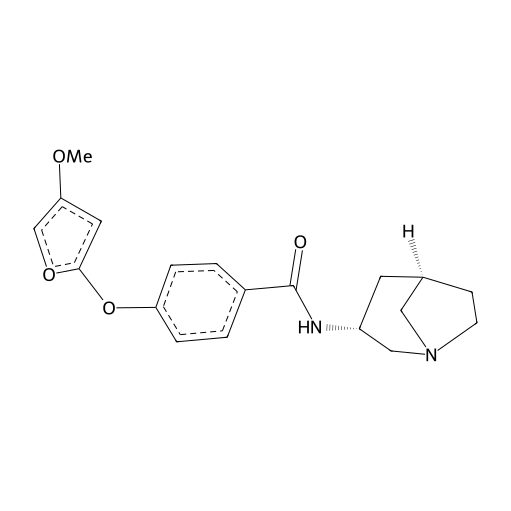 COc1coc(Oc2ccc(C(=O)N[C@@H]3C[C@H]4CCN(C4)C3)cc2)c1